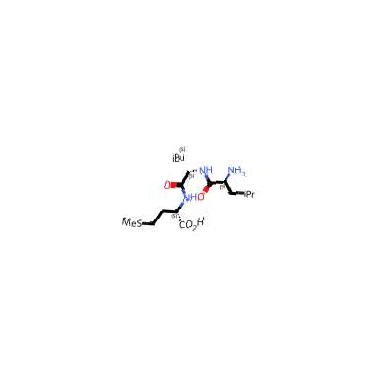 CC[C@H](C)[C@H](NC(=O)[C@@H](N)CC(C)C)C(=O)N[C@@H](CCSC)C(=O)O